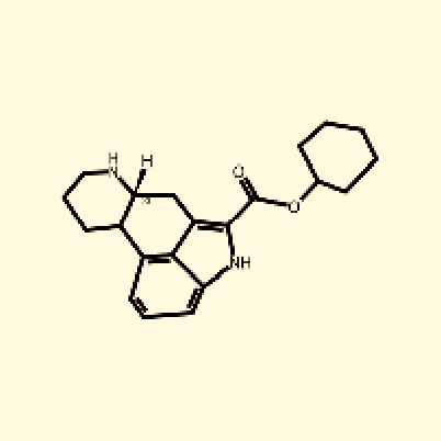 O=C(OC1CCCCC1)c1[nH]c2cccc3c2c1C[C@H]1NCCCC31